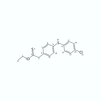 CCOC(=S)Cc1ccc(Sc2ccc(Cl)cc2)cc1